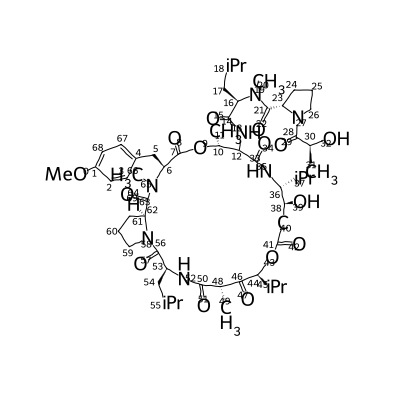 COc1ccc(C[C@H]2C(=O)O[C@H](C)C(NC(=O)[C@@H](CC(C)C)N(C)C(=O)[C@@H]3CCCN3C(=O)[C@H](C)O)C(=O)N[C@H](C(C)C)[C@@H](O)CC(=O)O[C@@H](C(C)C)C(=O)[C@H](C)C(=O)N[C@@H](CC(C)C)C(=O)N3CCC[C@H]3C(=O)N2C)cc1